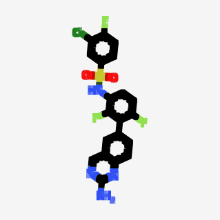 Nc1ncc2cc(-c3c(F)ccc(NS(=O)(=O)c4ccc(F)c(Cl)c4)c3F)ccc2n1